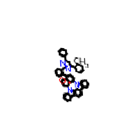 CC1CC=CC=C1c1cc(-c2ccccc2)nc(-c2cccc3oc4cc(-n5c6ccccc6c6ccc7c8ccccc8n(-c8ccccc8)c7c65)ccc4c23)n1